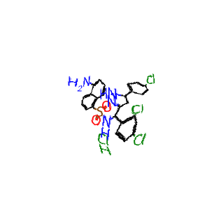 Cl.Nc1cccc2c(S(=O)(=O)NC(C3=NNC(c4ccc(Cl)cc4)C3)c3ccc(Cl)cc3Cl)cccc12